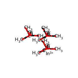 CCCCCCCCCCCCC(CCCCCCCCCCCC)(CCCCCCCCCCCC)C(=O)CC(=O)[O-].CCCCCCCCCCCCC(CCCCCCCCCCCC)(CCCCCCCCCCCC)C(=O)CC(=O)[O-].CCCCCCCCCCCCC(CCCCCCCCCCCC)(CCCCCCCCCCCC)C(=O)CC(=O)[O-].[In+3]